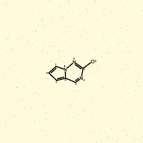 Clc1ncc2cccn2n1